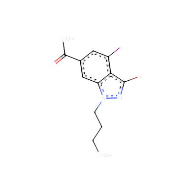 COCCCn1nc(Br)c2c(I)cc(C(=O)OC)cc21